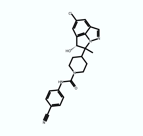 CC1(C2CCN(C(=O)Nc3ccc(C#N)cc3)CC2)[C@H](O)c2cc(Cl)cc3cnn1c23